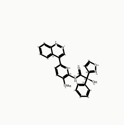 COc1ccc(-c2cnnc3ccccc23)nc1NC(=O)[C@@](O)(c1ccccc1)c1ccon1